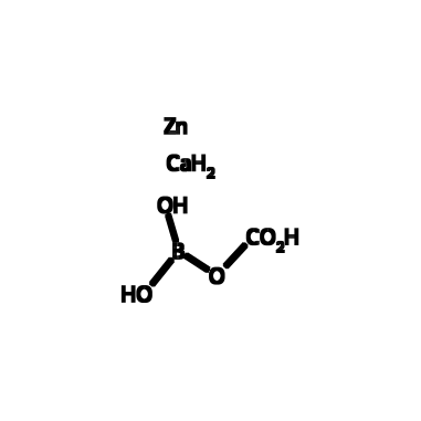 O=C(O)OB(O)O.[CaH2].[Zn]